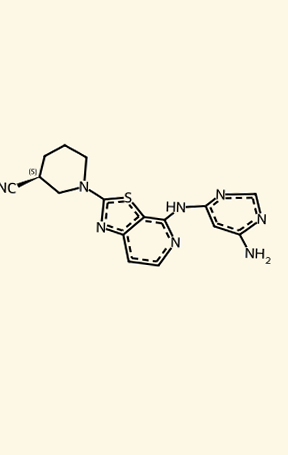 N#C[C@H]1CCCN(c2nc3ccnc(Nc4cc(N)ncn4)c3s2)C1